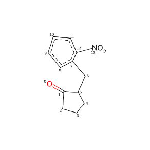 O=C1CCCC1Cc1ccccc1[N+](=O)[O-]